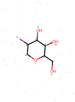 OCC1OCC(I)C(O)[C@H]1O